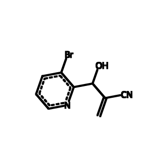 C=C(C#N)C(O)c1ncccc1Br